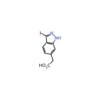 O=C(O)Cc1ccc2c(I)n[nH]c2c1